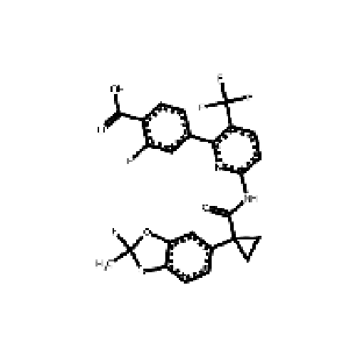 CC1(F)Oc2ccc(C3(C(=O)Nc4ccc(C(F)(F)F)c(-c5ccc(C(=O)O)c(F)c5)n4)CC3)cc2O1